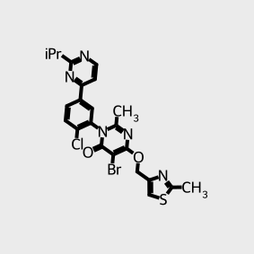 Cc1nc(COc2nc(C)n(-c3cc(-c4ccnc(C(C)C)n4)ccc3Cl)c(=O)c2Br)cs1